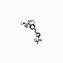 CC(=O)Nc1ccc(CCc2ccc(C(N)N(N)C=O)cc2)s1